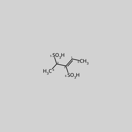 CC=C(C(C)S(=O)(=O)O)S(=O)(=O)O